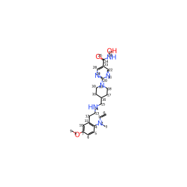 C=CN(C)c1ccc(OC)cc1CCNCC1CCN(c2ncc(C(=O)NO)cn2)CC1